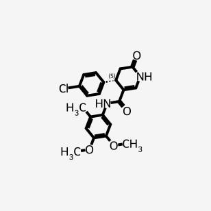 COc1cc(C)c(NC(=O)C2=CNC(=O)C[C@H]2c2ccc(Cl)cc2)cc1OC